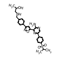 CC(O)CNCc1ccc(-c2cc(-c3nc(-c4ccc(S(=O)(=O)C(C)C)cc4)cnc3N)on2)cc1